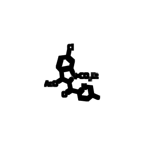 CCOC(=O)N1c2cc(Cl)ccc2C(OC(C)=O)C1C(=O)c1ccc(C)cn1